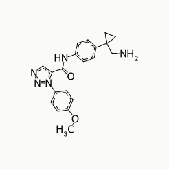 COc1ccc(-n2nncc2C(=O)Nc2ccc(C3(CN)CC3)cc2)cc1